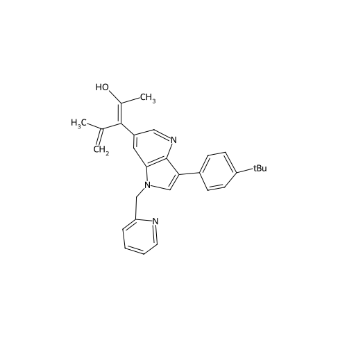 C=C(C)/C(=C(/C)O)c1cnc2c(-c3ccc(C(C)(C)C)cc3)cn(Cc3ccccn3)c2c1